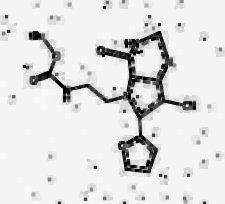 CC(C)(C)OC(=O)NCCn1c(-c2ccco2)c(C#N)c2nc[nH]c(=O)c21